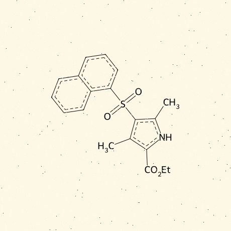 CCOC(=O)c1[nH]c(C)c(S(=O)(=O)c2cccc3ccccc23)c1C